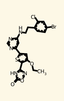 CCOc1cc(-c2cc(NCCc3ccc(Br)cc3Cl)ncn2)sc1-c1noc(=O)[nH]1